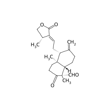 C=C1CC[C@H]2[C@@](C)(CCC(=O)[C@@]2(C)C=O)[C@@H]1C/C=C1/C(=O)OC[C@H]1C